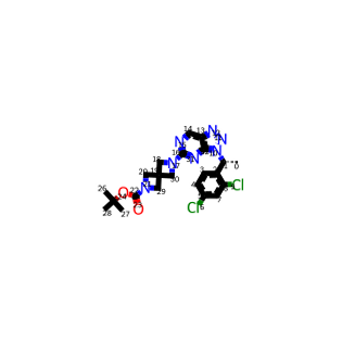 C[C@H](c1ccc(Cl)cc1Cl)n1nnc2cnc(N3CC4(CN(C(=O)OC(C)(C)C)C4)C3)nc21